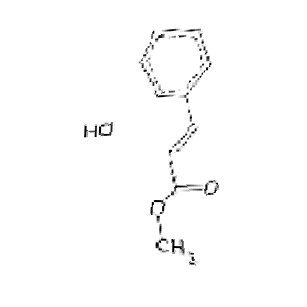 COC(=O)C=Cc1ccccc1.Cl